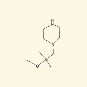 CO[Si](C)(C)CN1CCNCC1